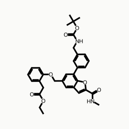 CCOC(=O)Cc1ccccc1OCc1cc(-c2cccc(CNC(=O)OC(C)(C)C)c2)c2oc(C(=O)NC)cc2c1